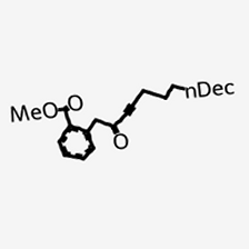 CCCCCCCCCCCCCC#CC(=O)Cc1ccccc1C(=O)OC